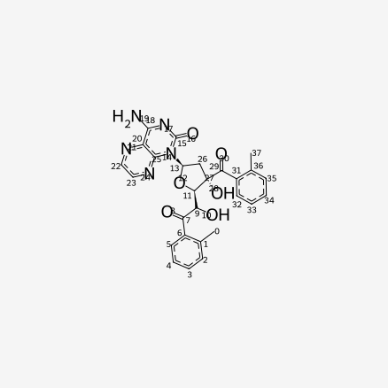 Cc1ccccc1C(=O)C(O)[C@H]1O[C@@H](n2c(=O)nc(N)c3nccnc32)C[C@@]1(O)C(=O)c1ccccc1C